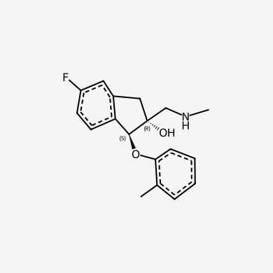 CNC[C@]1(O)Cc2cc(F)ccc2[C@@H]1Oc1ccccc1C